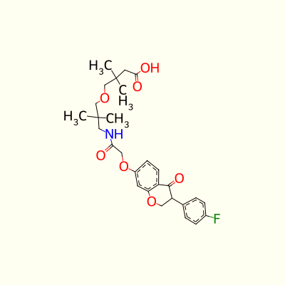 CC(C)(CNC(=O)COc1ccc2c(c1)OCC(c1ccc(F)cc1)C2=O)COCC(C)(C)CC(=O)O